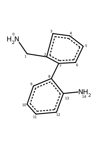 NCc1c[c]ccc1-c1ccccc1N